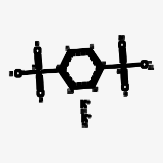 O=S(=O)([O-])c1ccc(S(=O)(=O)[O-])cc1.[K+].[K+]